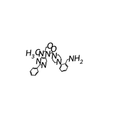 CN1c2nc(-c3ccccc3)ncc2N(C(=O)N2CCN(c3ccccc3CN)CC2)C1C=O